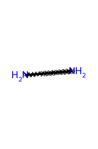 NC=CCCCCCCCCCCCCCCCCCCCCCCCN